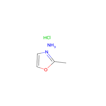 Cc1ncco1.Cl.N